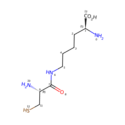 N[C@@H](CCCCNC(=O)[C@@H](N)CS)C(=O)O